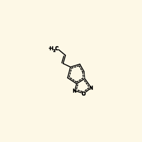 [CH2]/C=C/c1ccc2nonc2c1